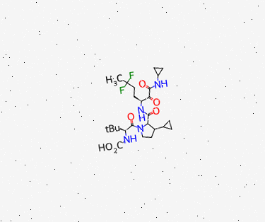 CC(F)(F)CC[C@H](NC(=O)C1C(C2CC2)CCN1C(=O)[C@@H](NC(=O)O)C(C)(C)C)C(=O)C(=O)NC1CC1